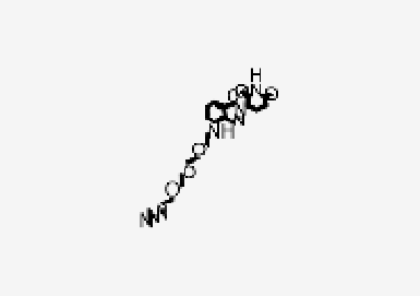 [N-]=[N+]=NCCOCCOCCOCCNc1cccc2c(=O)n(C3CCC(=O)NC3=O)ncc12